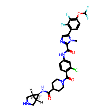 Cn1c(-c2ccc(OC(F)F)c(F)c2F)cnc1C(=O)Nc1ccc(C(=O)N2CCC(C(=O)N[C@H]3[C@@H]4CNC[C@@H]43)CC2)c(Cl)c1